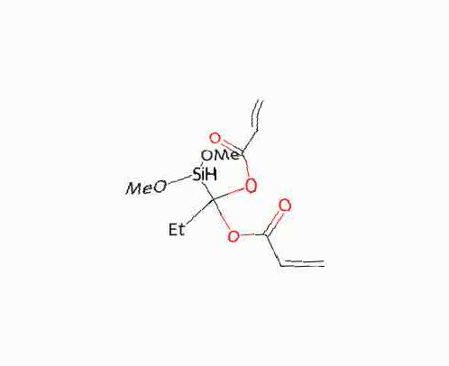 C=CC(=O)OC(CC)(OC(=O)C=C)[SiH](OC)OC